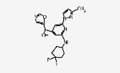 Cc1ccn(-c2cc(C(O)c3cnco3)cc(NC3CCC(F)(F)CC3)n2)n1